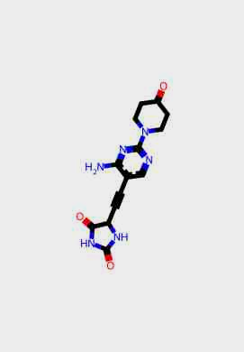 Nc1nc(N2CCC(=O)CC2)ncc1C#CC1NC(=O)NC1=O